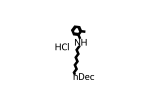 CCCCCCCCCCCCCCCCCCNCc1ccccc1C.Cl